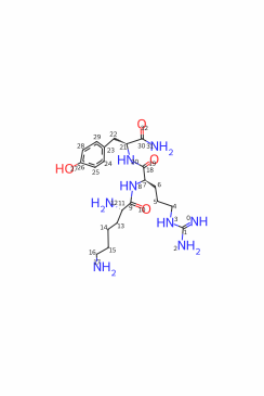 N=C(N)NCCC[C@@H](NC(=O)[C@@H](N)CCCCN)C(=O)N[C@@H](Cc1ccc(O)cc1)C(N)=O